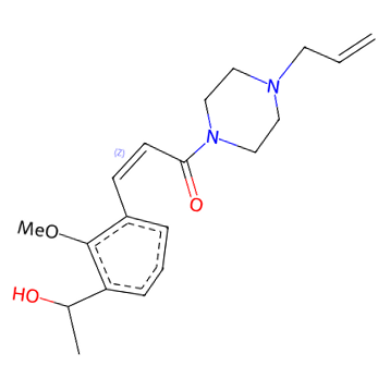 C=CCN1CCN(C(=O)/C=C\c2cccc(C(C)O)c2OC)CC1